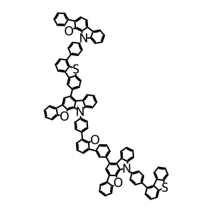 c1ccc2c(c1)oc1c2ccc2c3ccccc3n(-c3ccc(-c4cccc5c4sc4ccc(-c6cc7c8ccccc8oc7c7c6c6ccccc6n7-c6ccc(-c7cccc8c7oc7ccc(-c9cc%10c%11ccccc%11oc%10c%10c9c9ccccc9n%10-c9ccc(-c%10cccc%11sc%12ccccc%12c%10%11)cc9)cc78)cc6)cc45)cc3)c21